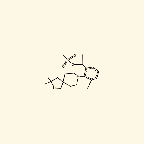 CC(OS(C)(=O)=O)c1cccc(F)c1N1CCC2(CC1)COC(C)(C)C2